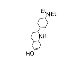 CCN(CC)C1CC=C(C2CCC3CC(O)=CCC3N2)CC1